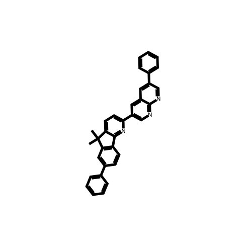 CC1(C)c2cc(-c3ccccc3)ccc2-c2nc(-c3cnc4ncc(-c5ccccc5)cc4c3)ccc21